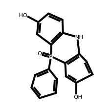 O=P1(c2ccccc2)c2cc(O)ccc2Nc2ccc(O)cc21